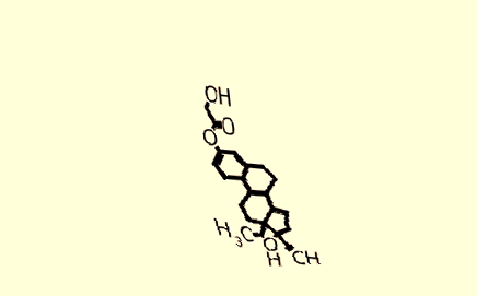 C#CC1(O)CCC2C3CCC4=CC(OC(=O)CO)=CCC4C3CCC21CC